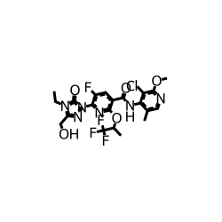 CCn1c(CO)nn(-c2nc(OC(C)C(F)(F)F)c(C(=O)Nc3c(C)cnc(OC)c3Cl)cc2F)c1=O